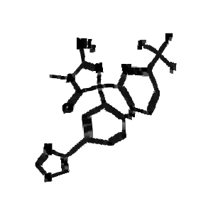 CN1C(=O)C(c2cccc(C(F)(F)F)n2)(c2cc(-c3cscn3)ccc2F)N=C1N